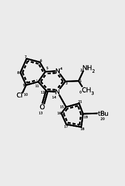 CC(N)c1nc2cccc(Cl)c2c(=O)n1-c1cccc(C(C)(C)C)c1